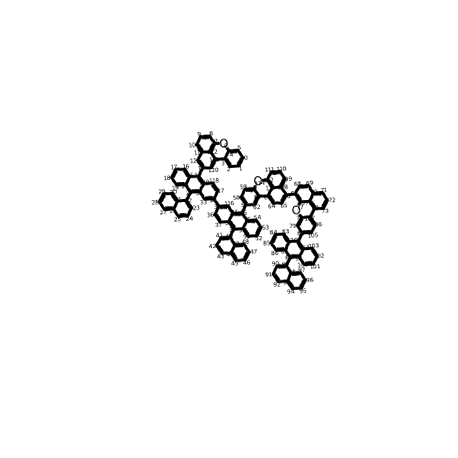 c1ccc2c(c1)Oc1cccc3cc(-c4c5ccccc5c(-c5cccc6ccccc56)c5cc(-c6ccc7c(-c8cccc9ccccc89)c8ccccc8c(-c8ccc9c(c8)-c8ccc(-c%10ccc%11cccc%12c%11c%10Oc%10cc(-c%11c%13ccccc%13c(-c%13cccc%14ccccc%13%14)c%13ccccc%11%13)ccc%10-%12)c%10cccc(c8%10)O9)c7c6)ccc45)cc-2c13